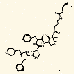 C#CCCC(=O)NCCCC(=O)O[C@](C)(CI)C(=O)C(CC(C)C)NC(=O)[C@H](Cc1ccccc1)NC(=O)[C@H](CC(C)C)NC(=O)[C@H](CCc1ccccc1)NC(=O)CN1CCOCC1